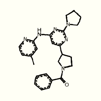 Cc1ccnc(Nc2cc(C3CCN(C(=O)c4ccccc4)C3)nc(N3CCCC3)n2)c1